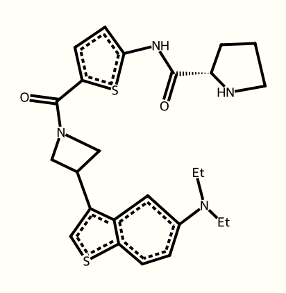 CCN(CC)c1ccc2scc(C3CN(C(=O)c4ccc(NC(=O)[C@@H]5CCCN5)s4)C3)c2c1